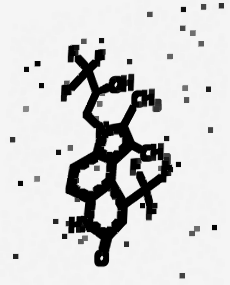 Cc1c(C)n(C[C@H](O)C(F)(F)F)c2ccc3[nH]c(=O)cc(C(F)(F)F)c3c12